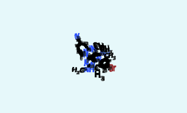 CNc1nc(N2CCCC(C#N)CC2)c2c(NC)c(NC)n(-c3c(C)cc(Br)cc3C)c2n1